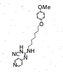 COc1ccc(OCCCCCCCN/C(=N/c2ccncc2)NC#N)cc1